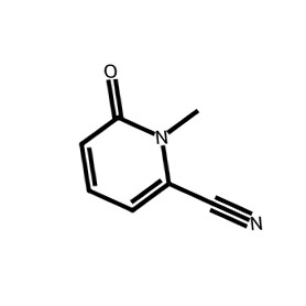 Cn1c(C#N)cccc1=O